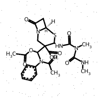 CNC(=O)N(C)C(=O)NC1S[C@@H]2CC(=O)N2CC1(C(=O)O)C(OC(C)=O)N(C(C)=O)c1ccccc1